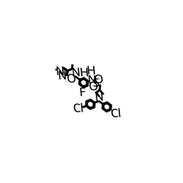 CC(NC(=O)c1cc(F)cc(NS(=O)(=O)CC2CN(C(c3ccc(Cl)cc3)c3ccc(Cl)cc3)C2)c1)c1cnn(C)c1